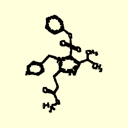 COC(=O)CCc1nc(C(C)C)c(S(=O)(=O)Oc2ccccc2)n1Cc1ccncc1